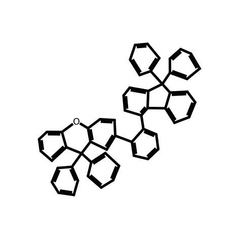 c1ccc(C2(c3ccccc3)c3ccccc3Oc3ccc(-c4ccccc4-c4cccc5c4-c4ccccc4C5(c4ccccc4)c4ccccc4)cc32)cc1